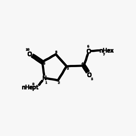 CCCCCCCN1CC(C(=O)OCCCCCC)CC1=O